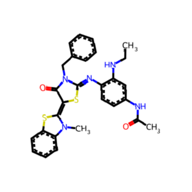 CCNc1cc(NC(C)=O)ccc1N=C1SC(=C2Sc3ccccc3N2C)C(=O)N1Cc1ccccc1